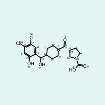 O=C(O)N1CC[C@@H](C(=O)N2CCC(C(O)c3cc(Cl)c(Cl)cc3O)CC2)C1